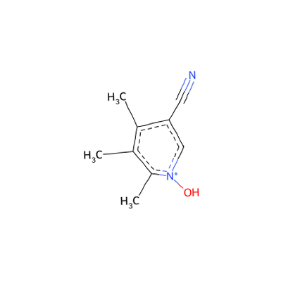 Cc1c(C#N)c[n+](O)c(C)c1C